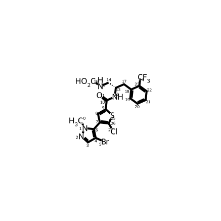 Cn1ncc(Br)c1-c1cc(C(=O)N[C@H](CNC(=O)O)Cc2ccccc2C(F)(F)F)sc1Cl